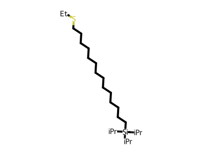 CCSCCCCCCCCCCCCCC[Si](C(C)C)(C(C)C)C(C)C